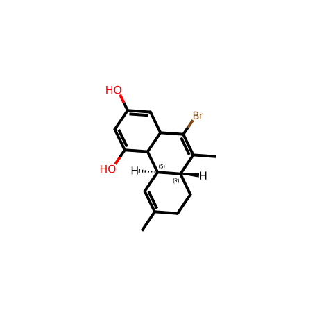 CC1=C[C@H]2C3C(O)=CC(O)=CC3C(Br)=C(C)[C@@H]2CC1